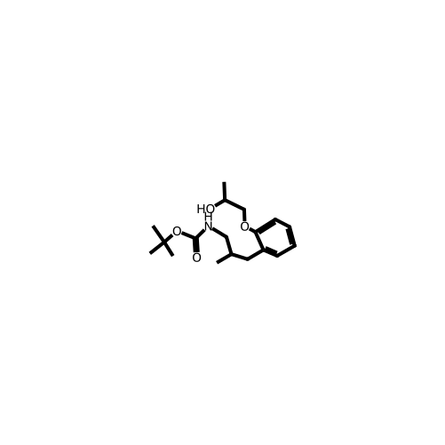 CC(O)COc1ccccc1CC(C)CNC(=O)OC(C)(C)C